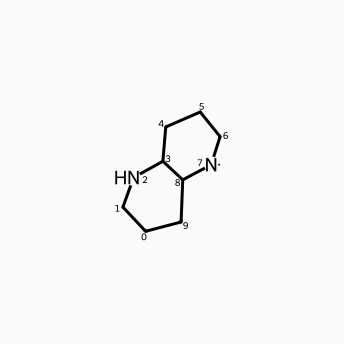 C1CNC2CCC[N]C2C1